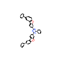 c1ccc(-c2ccc3oc4cc(-c5nc(-c6ccccc6)nc(-c6ccc7c(c6)oc6ccc(-c8ccccc8)cc67)n5)ccc4c3c2)cc1